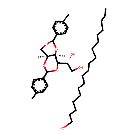 CCCCCCCCCCCCCCCCCCO.Cc1ccc(C2OC[C@@H]3OC(c4ccc(C)cc4)O[C@H]([C@H](O)CO)[C@@H]3O2)cc1